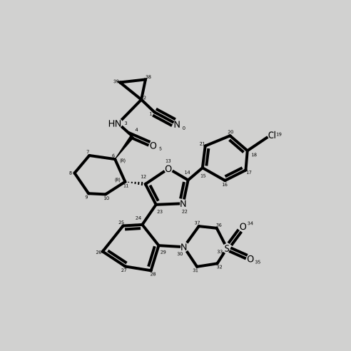 N#CC1(NC(=O)[C@@H]2CCCC[C@H]2c2oc(-c3ccc(Cl)cc3)nc2-c2ccccc2N2CCS(=O)(=O)CC2)CC1